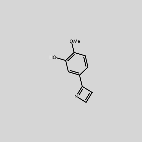 COc1ccc(C2=NC=C2)cc1O